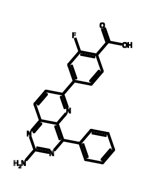 Nc1nc(-c2ccccc2)c2nc(-c3ccc(C(=O)O)c(F)c3)ccc2n1